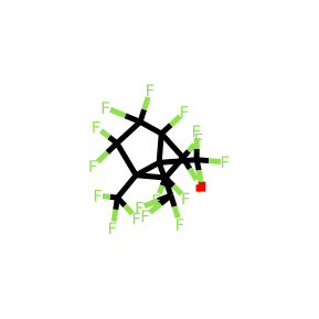 FC(F)(F)C12C(F)(F)C(F)(F)C(F)(C(F)(F)C1(F)F)C2(C(F)(F)F)C(F)(F)F